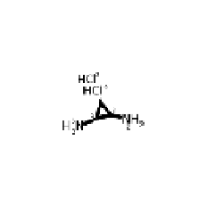 Cl.Cl.NC1CC1N